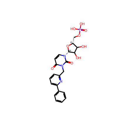 O=c1ccn([C@@H]2O[C@H](COP(=O)(O)O)C(O)C2O)c(=O)n1Cc1cccc(-c2ccccc2)n1